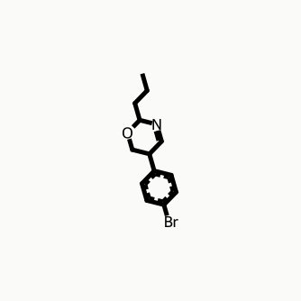 CCCC1N=CC(c2ccc(Br)cc2)CO1